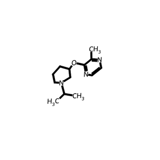 Cc1nccnc1OC1CCCN(C(C)C)C1